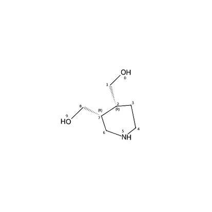 OC[C@@H]1CCNC[C@@H]1CO